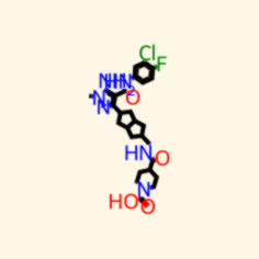 Cn1nc(C2CC3CC(CNC(=O)C4CCN(C(=O)O)CC4)CC3C2)c(C(=O)Nc2ccc(F)c(Cl)c2)c1N